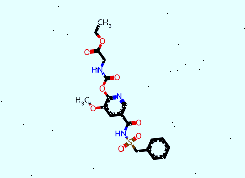 CCOC(=O)CNC(=O)Oc1ncc(C(=O)NS(=O)(=O)Cc2ccccc2)cc1OC